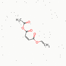 C=COC(=O)/C=C\C(=O)OC(C)=O